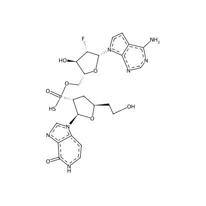 Nc1ncnc2c1ccn2[C@@H]1O[C@H](COP(=O)(S)[C@@H]2C[C@@H](CCO)O[C@H]2n2cnc3c(=O)[nH]ccc32)[C@@H](O)[C@@H]1F